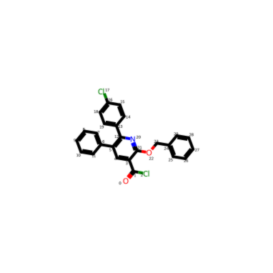 O=C(Cl)c1cc(-c2ccccc2)c(-c2ccc(Cl)cc2)nc1OCc1ccccc1